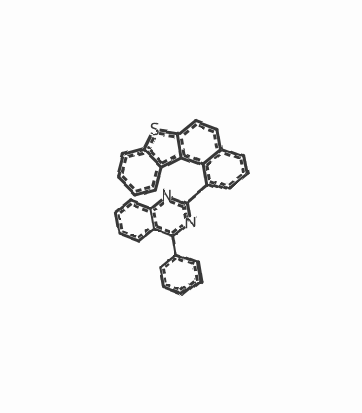 c1ccc(-c2nc(-c3cccc4ccc5sc6ccccc6c5c34)nc3ccccc23)cc1